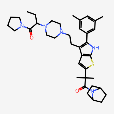 CCC(C(=O)N1CCCC1)N1CCN(CCc2c(-c3cc(C)cc(C)c3)[nH]c3sc(C(C)(C)C(=O)N4C5CCC4CC5)cc23)CC1